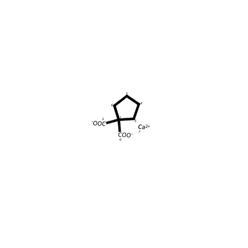 O=C([O-])C1(C(=O)[O-])CCCC1.[Ca+2]